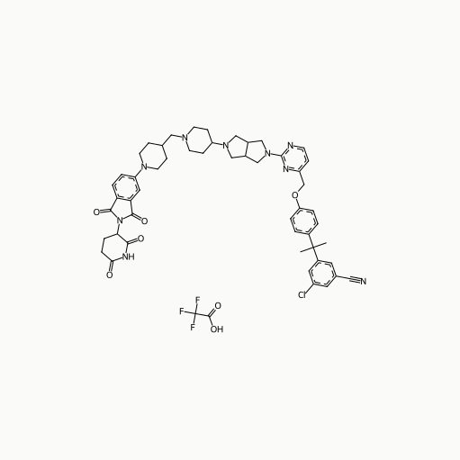 CC(C)(c1ccc(OCc2ccnc(N3CC4CN(C5CCN(CC6CCN(c7ccc8c(c7)C(=O)N(C7CCC(=O)NC7=O)C8=O)CC6)CC5)CC4C3)n2)cc1)c1cc(Cl)cc(C#N)c1.O=C(O)C(F)(F)F